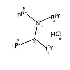 CCCC(C(C)C)N(CCC)CCC.Cl